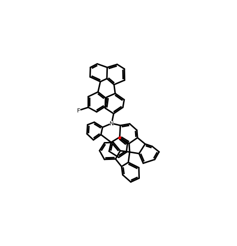 Fc1cccc(-c2cccc3cccc(-c4ccc(N(c5ccc6c(c5)C5(c7ccccc7-c7ccccc75)c5ccccc5-6)c5ccccc5-c5ccccc5)cc4)c23)c1